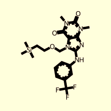 Cn1c(=O)c2c(nc(Nc3cccc(C(F)(F)F)c3)n2COCC[Si](C)(C)C)n(C)c1=O